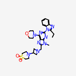 CCc1nc2ccccc2n1-c1nc(N2CCOCC2)c2nc(CN3CC(N4CCS(=O)(=O)CC4)C3)n(C)c2n1